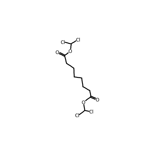 O=C(CCCCCCC(=O)OC(Cl)Cl)OC(Cl)Cl